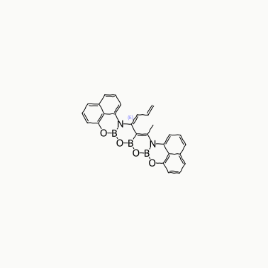 C=C/C=C1\C2=C(C)N3B(OB2OB2Oc4cccc5cccc(c45)N21)Oc1cccc2cccc3c12